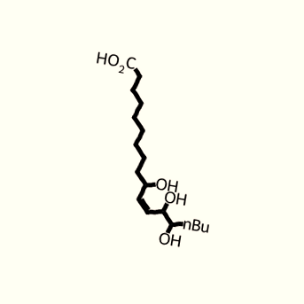 CCCCC(O)C(O)/C=C\C(O)CCCCCCCCC(=O)O